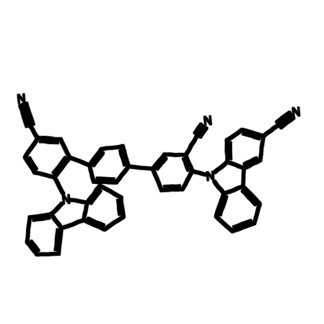 N#Cc1ccc(-n2c3ccccc3c3ccccc32)c(-c2ccc(-c3ccc(-n4c5ccccc5c5cc(C#N)ccc54)c(C#N)c3)cc2)c1